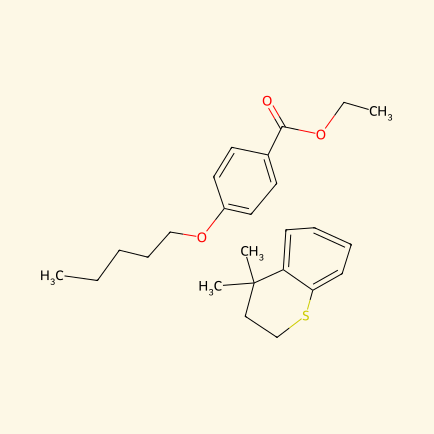 CC1(C)CCSc2ccccc21.CCCCCOc1ccc(C(=O)OCC)cc1